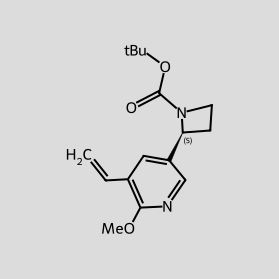 C=Cc1cc([C@@H]2CCN2C(=O)OC(C)(C)C)cnc1OC